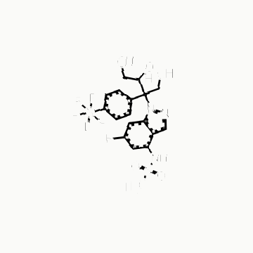 CCC(O)C(CC)(c1ccc(S(F)(F)(F)(F)F)cc1)n1ncc2c(NS(C)(=O)=O)cc(F)cc21